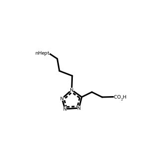 CCCCCCCCCCn1nnnc1CCC(=O)O